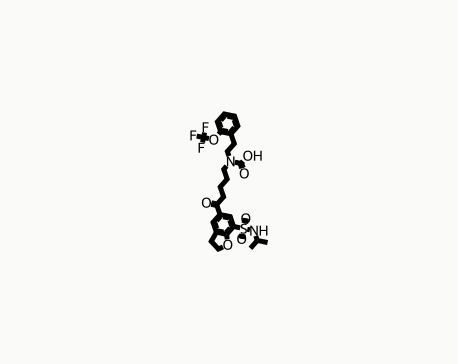 CC(C)NS(=O)(=O)c1cc(C(=O)CCCCN(CCc2ccccc2OC(F)(F)F)C(=O)O)cc2c1OCC2